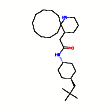 CC(C)(C)C[C@H]1CC[C@H](NC(=O)CC2CCCNC23CCCCCCCCC3)CC1